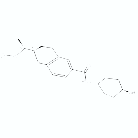 C[C@H](ON)[C@H]1CCc2cc(C(=N)N[C@H]3CC[C@H](N)CC3)ccc2O1